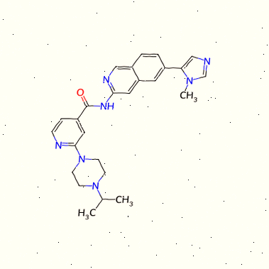 CC(C)N1CCN(c2cc(C(=O)Nc3cc4cc(-c5cncn5C)ccc4cn3)ccn2)CC1